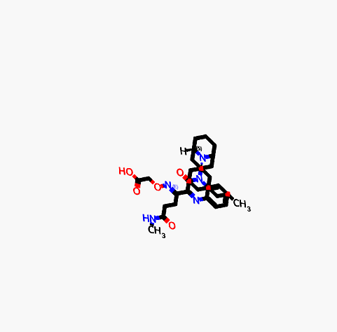 CCCC1CCC[C@H](N2C3CCC[C@H]2CC(n2c(=O)c(/C(CCC(=O)NC)=N/OCC(=O)O)nc4ccccc42)C3)C1